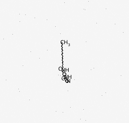 CCC=CCC=CCC=CCC=CCC=CCCCC(=O)NCC1CCC(NC(=O)c2cccnc2)CC1